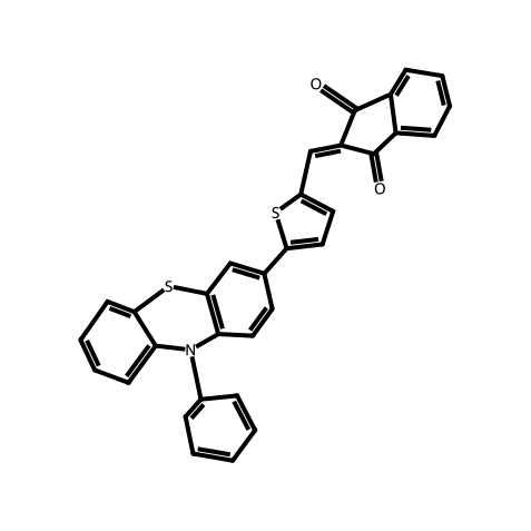 O=C1C(=Cc2ccc(-c3ccc4c(c3)Sc3ccccc3N4c3ccccc3)s2)C(=O)c2ccccc21